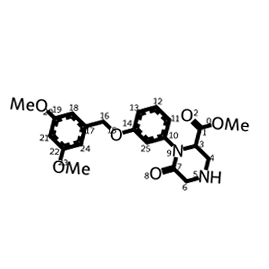 COC(=O)C1CNCC(=O)N1c1cccc(OCc2cc(OC)cc(OC)c2)c1